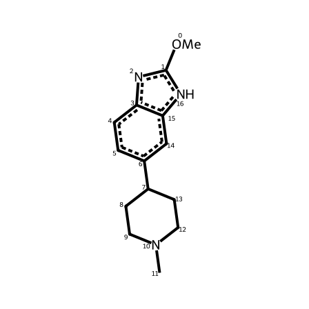 COc1nc2ccc(C3CCN(C)CC3)cc2[nH]1